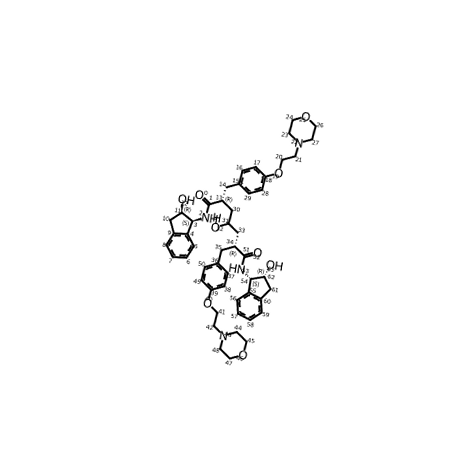 O=C(N[C@H]1c2ccccc2C[C@H]1O)[C@H](Cc1ccc(OCCN2CCOCC2)cc1)CC(O)C[C@@H](Cc1ccc(OCCN2CCOCC2)cc1)C(=O)N[C@H]1c2ccccc2C[C@H]1O